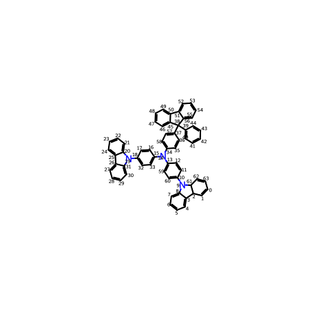 C1=CC2c3ccccc3N(c3ccc(N(c4ccc(-n5c6ccccc6c6ccccc65)cc4)c4ccc(C5(c6ccccc6)c6ccccc6-c6ccccc65)cc4)cc3)C2C=C1